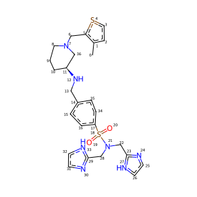 Cc1ccsc1CN1CCC[C@H](NCc2ccc(S(=O)(=O)N(Cc3ncc[nH]3)Cc3ncc[nH]3)cc2)C1